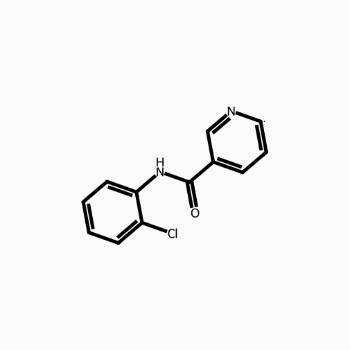 O=C(Nc1ccccc1Cl)c1cc[c]nc1